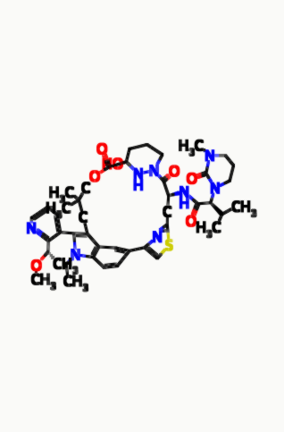 CCn1c(-c2cccnc2[C@H](C)OC)c2c3cc(ccc31)-c1csc(n1)C[C@H](NC(=O)[C@H](C(C)C)N1CCCN(C)C1=O)C(=O)N1CCC[C@@](O)(N1)C(=O)OCC(C)(C)C2